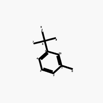 Cc1cccc(C(C)(C)I)c1